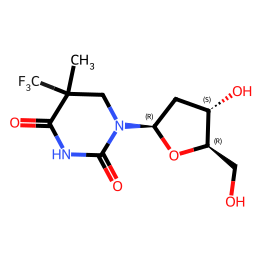 CC1(C(F)(F)F)CN([C@H]2C[C@H](O)[C@@H](CO)O2)C(=O)NC1=O